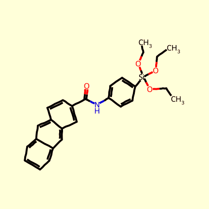 CCO[Si](OCC)(OCC)c1ccc(NC(=O)c2ccc3cc4ccccc4cc3c2)cc1